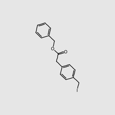 O=C(Cc1ccc(CI)cc1)OCc1ccccc1